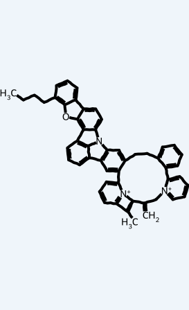 C=C1C[n+]2ccccc2-c2ccccc2CCc2cc3c(cc2-c2cccc4[n+]2C1(CC)C4)c1cccc2c4c5oc6c(CCCC)cccc6c5ccc4n3c12